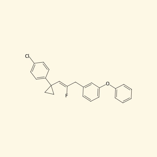 FC(=CC1(c2ccc(Cl)cc2)CC1)Cc1cccc(Oc2ccccc2)c1